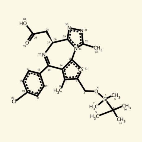 Cc1c(CO[Si](C)(C)C(C)(C)C)sc2c1C(c1ccc(Cl)cc1)=N[C@@H](CC(=O)O)c1nnc(C)n1-2